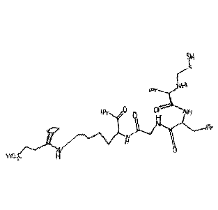 CC(C)CC(NC(=O)C(NCSS)C(C)C)C(=O)NCC(=O)NC(CCCCNC(=O)CCC(=O)O)C(=O)C(C)C